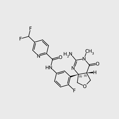 CN1C(=O)[C@@H]2COC[C@]2(c2cc(NC(=O)c3ccc(C(F)F)cn3)ccc2F)N=C1N